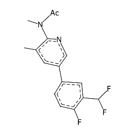 CC(=O)N(C)c1ncc(-c2ccc(F)c(C(F)F)c2)cc1C